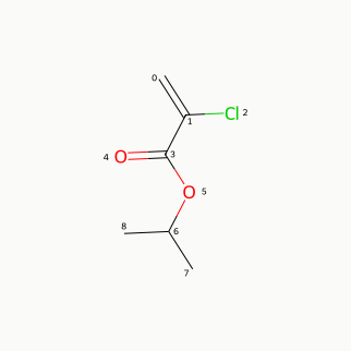 C=C(Cl)C(=O)OC(C)C